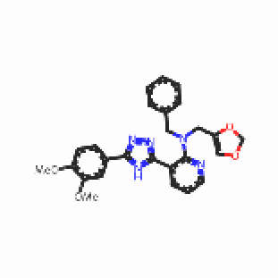 COc1ccc(-c2nnc(-c3cccnc3N(CC3=COCO3)Cc3ccccc3)[nH]2)cc1OC